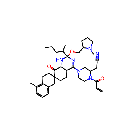 C=CC(=O)N1CCN(C2=NC(OCC3CCCN3C)(C(C)CCC)NC3C(=O)C4(CCc5c(C)cccc5C4)CCC23)CC1CC#N